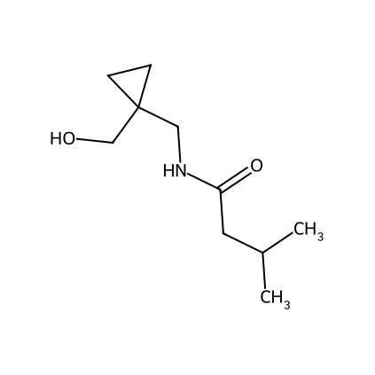 CC(C)CC(=O)NCC1(CO)CC1